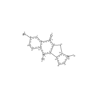 CCn1c2c(c(=O)c3cc(C(C)C)ccc31)Cc1c-2ccn1C